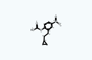 O=C(O)Oc1ccc([N+](=O)[O-])cc1CCC1CC1